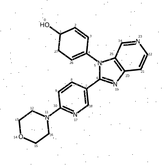 OC1C=CC(n2c(-c3ccc(N4CCOCC4)nc3)nc3ccncc32)=CC1